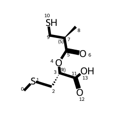 CSC[C@H](OC(=O)[C@H](C)CS)C(=O)O